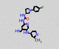 Cc1cc(Nc2cnc(NC(=O)N[C@@H]3CCN(c4ccc(F)cc4)C3)cc2C=N)ccn1